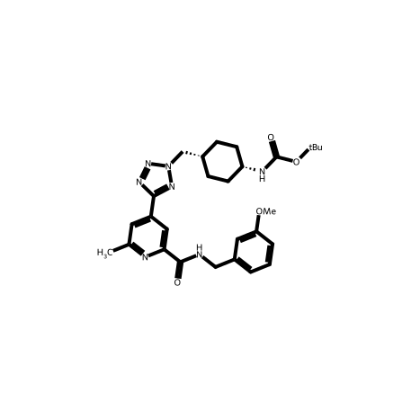 COc1cccc(CNC(=O)c2cc(-c3nnn(C[C@H]4CC[C@@H](NC(=O)OC(C)(C)C)CC4)n3)cc(C)n2)c1